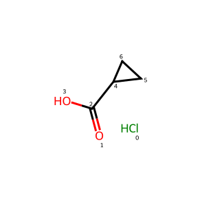 Cl.O=C(O)C1CC1